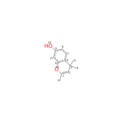 CC1=CC(C)(C)c2ccc(O)cc2O1